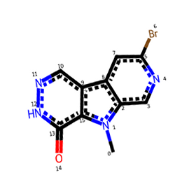 Cn1c2cnc(Br)cc2c2cn[nH]c(=O)c21